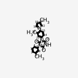 Cc1cccc(-n2c(=O)[nH]c(=O)n(-c3ccc(-n4ccc(C)c4)c(C)c3)c2=O)c1